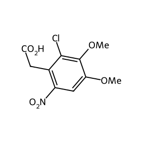 COc1cc([N+](=O)[O-])c(CC(=O)O)c(Cl)c1OC